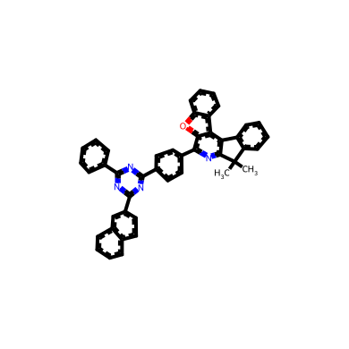 CC1(C)c2ccccc2-c2c1nc(-c1ccc(-c3nc(-c4ccccc4)nc(-c4ccc5ccccc5c4)n3)cc1)c1oc3ccccc3c21